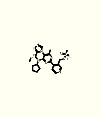 CC[C@@H]1c2nncn2-c2c(C)nc(-c3ccncc3CNS(C)(=O)=O)nc2N1C1CCCC1